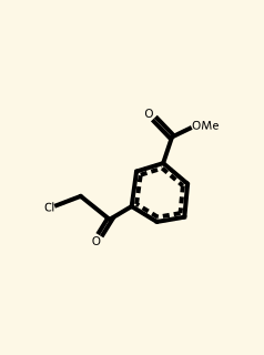 COC(=O)c1cccc(C(=O)CCl)c1